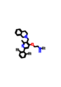 CCNCCOc1cc(-c2c(CC)cccc2CC)nc(C)c1CN1CCc2ccccc2C1